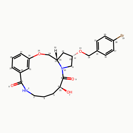 O=C1NCCC[C@H](O)C(=O)N2C[C@@H](OCc3ccc(Br)cc3)C[C@H]2COc2cccc1c2